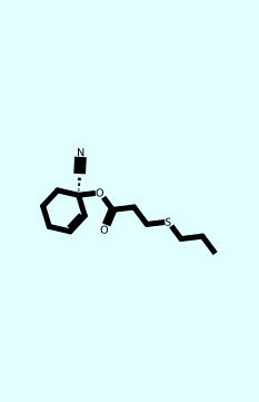 CCCSCCC(=O)O[C@@]1(C#N)C=CCCC1